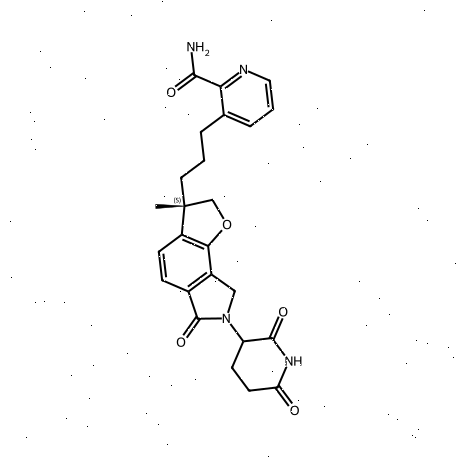 C[C@@]1(CCCc2cccnc2C(N)=O)COc2c1ccc1c2CN(C2CCC(=O)NC2=O)C1=O